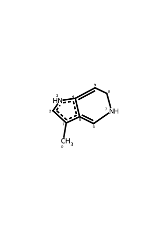 Cc1c[nH]c2c1=CNCC=2